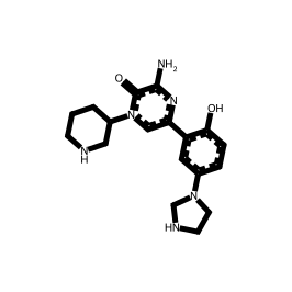 Nc1nc(-c2cc(N3CCNC3)ccc2O)cn(C2CCCNC2)c1=O